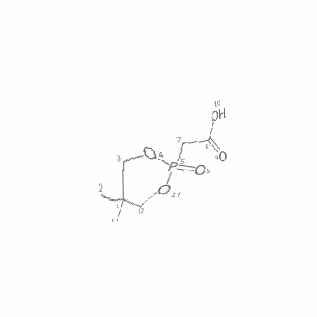 CC1(C)COP(=O)(CC(=O)O)OC1